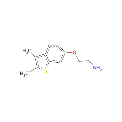 Cc1sc2cc(OCCN)ccc2c1C